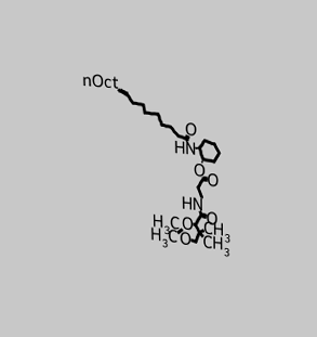 CCCCCCCCC=CCCCCCCCC(=O)N[C@H]1CCCC[C@@H]1OC(=O)CCNC(=O)C1OC(C)(C)OCC1(C)C